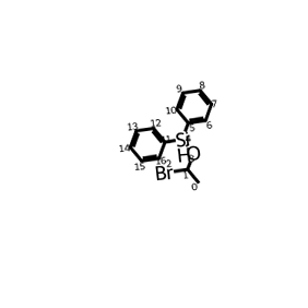 CC(Br)O[SiH](c1ccccc1)c1ccccc1